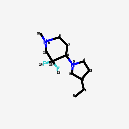 CCC1CCN(C2CCN(C)CC2(F)F)C1